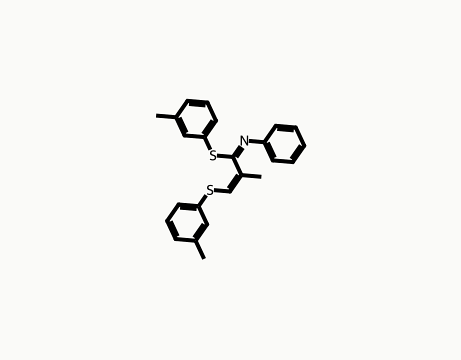 CC(=CSc1cccc(C)c1)/C(=N\c1ccccc1)Sc1cccc(C)c1